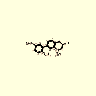 CCCN1CC(CC)Cc2ccc(-c3cc(NC)ccc3C)cc21